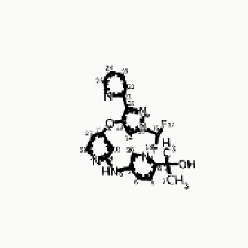 CC(C)(O)c1ccc(Nc2cc(Oc3cn(C(F)F)nc3-c3ccccn3)ccn2)cn1